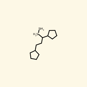 [SiH3][SiH2]C(CCC1CCCC1)C1CCCC1